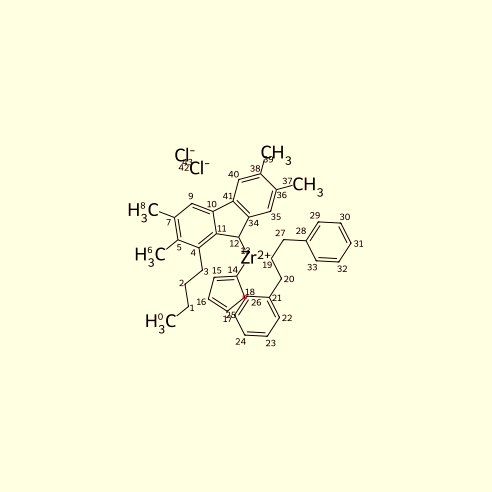 CCCCc1c(C)c(C)cc2c1[CH]([Zr+2]([C]1=CC=CC1)=[C](Cc1ccccc1)Cc1ccccc1)c1cc(C)c(C)cc1-2.[Cl-].[Cl-]